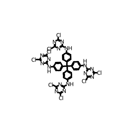 Clc1nc(Cl)nc(Nc2ccc(C(c3ccc(Nc4nc(Cl)nc(Cl)n4)cc3)(c3ccc(Nc4nc(Cl)nc(Cl)n4)cc3)c3ccc(Nc4nc(Cl)nc(Cl)n4)cc3)cc2)n1